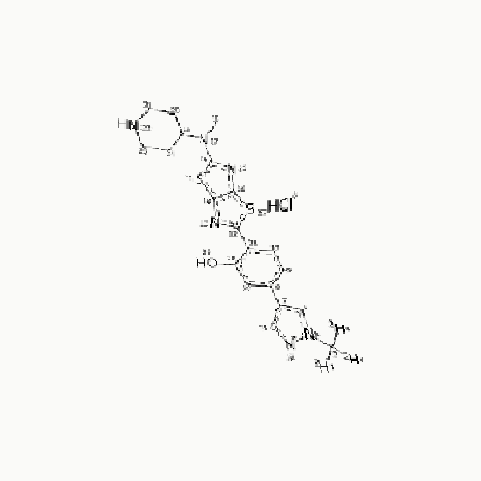 Cl.[2H]C([2H])([2H])n1cc(-c2ccc(-c3nc4sc(N(C)C5CCNCC5)nc4s3)c(O)c2)cn1